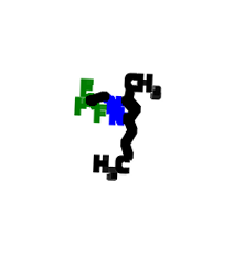 CCCCc1cc(C)n(CC(F)(F)F)n1